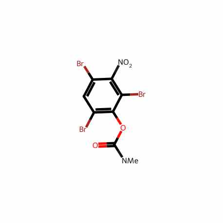 CNC(=O)Oc1c(Br)cc(Br)c([N+](=O)[O-])c1Br